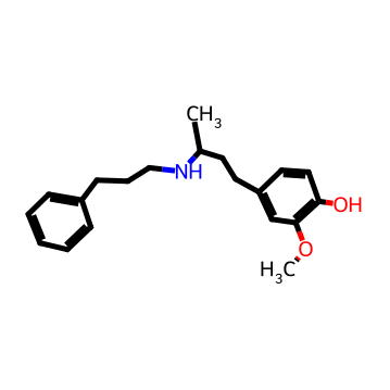 COc1cc(CCC(C)NCCCc2ccccc2)ccc1O